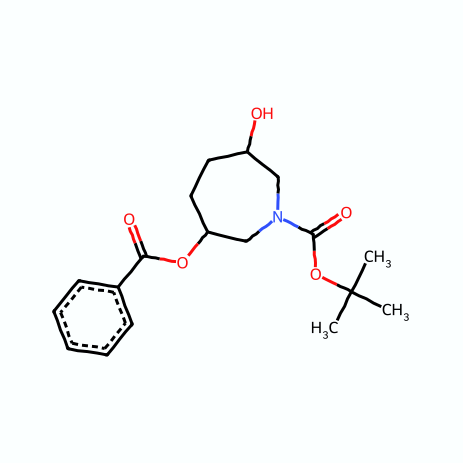 CC(C)(C)OC(=O)N1CC(O)CCC(OC(=O)c2ccccc2)C1